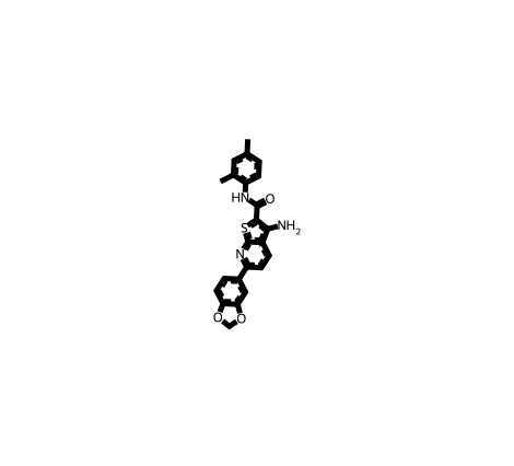 Cc1ccc(NC(=O)c2sc3nc(-c4ccc5c(c4)OCO5)ccc3c2N)c(C)c1